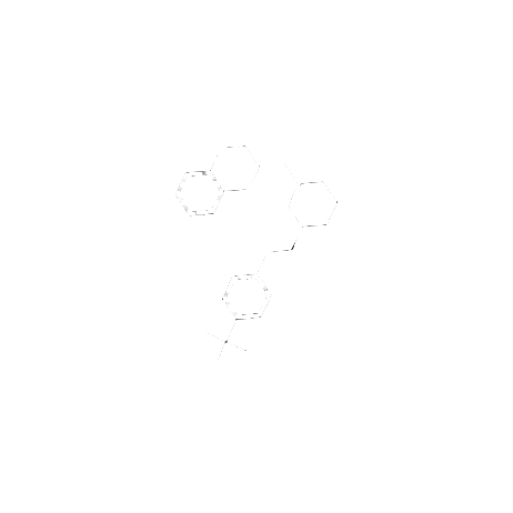 FC(F)(F)c1ccc(OC[C@@H]2CCCN(C[C@H]3COc4ccccc4O3)C2)cc1